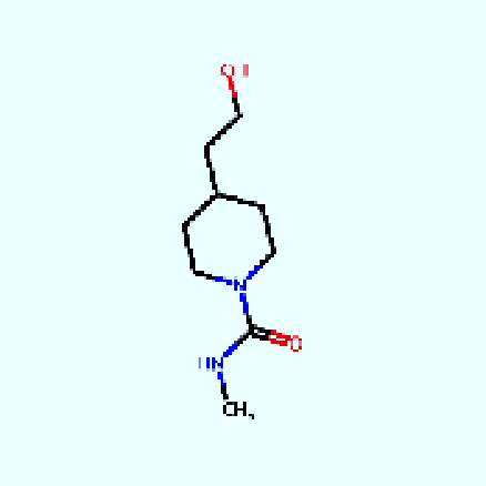 CNC(=O)N1CCC(CCO)CC1